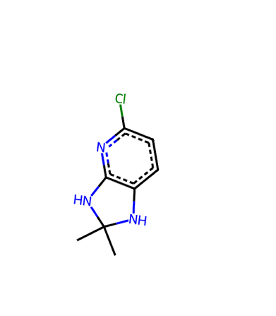 CC1(C)Nc2ccc(Cl)nc2N1